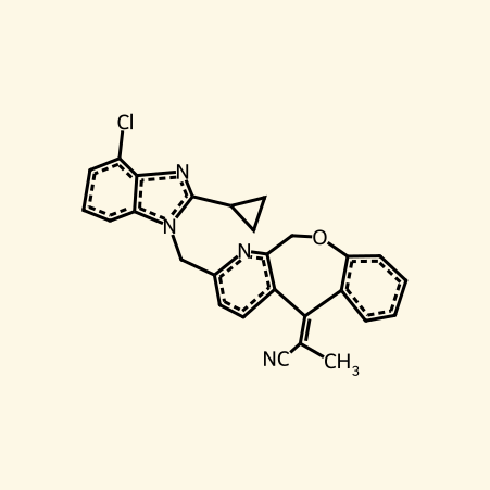 C/C(C#N)=C1\c2ccccc2OCc2nc(Cn3c(C4CC4)nc4c(Cl)cccc43)ccc21